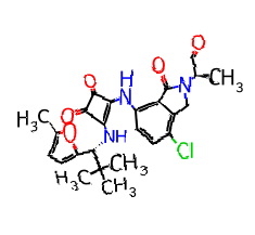 Cc1ccc([C@H](Nc2c(Nc3ccc(Cl)c4c3C(=O)N([C@H](C)C=O)C4)c(=O)c2=O)C(C)(C)C)o1